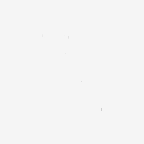 CC=CCCC=CCCC=C(C)C